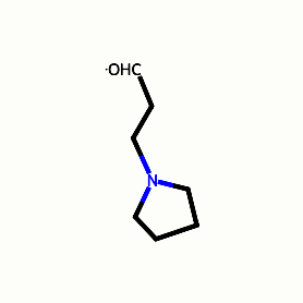 O=[C]CCN1CCCC1